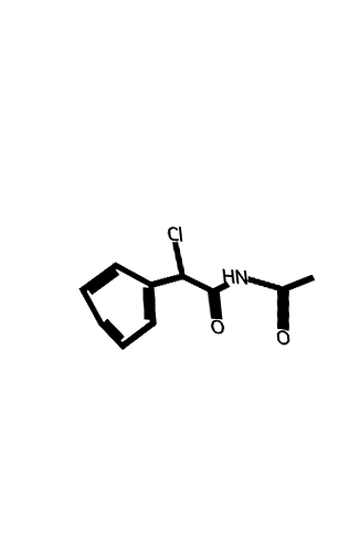 CC(=O)NC(=O)C(Cl)c1ccccc1